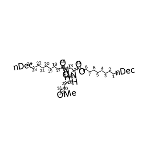 CCCCCCCCCCCCCCCCCCOC(=O)C(CNC(=O)CCCCCCCCCCCCCCCCC)NC(=O)CCCCOC